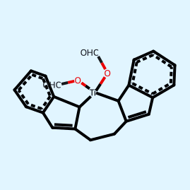 O=C[O][Ti]1([O]C=O)[CH]2C(=Cc3ccccc32)CCC2=Cc3ccccc3[CH]21